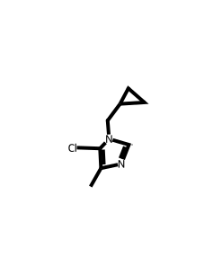 Cc1n[c]n(CC2CC2)c1Cl